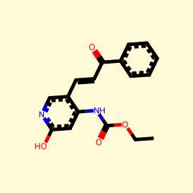 CCOC(=O)Nc1cc(O)ncc1/C=C/C(=O)c1ccccc1